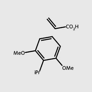 C=CC(=O)O.COc1cccc(OC)c1C(C)C